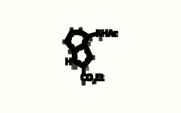 CCOC(=O)c1cc2c(NC(C)=O)cccc2[nH]1